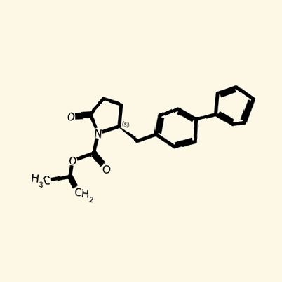 C=C(C)OC(=O)N1C(=O)CC[C@H]1Cc1ccc(-c2ccccc2)cc1